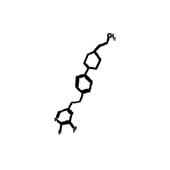 CCCC1CCC(c2ccc(CCc3cnc(F)c(F)c3)cc2)CC1